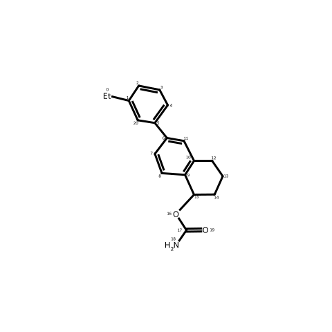 CCc1cccc(-c2ccc3c(c2)CCCC3OC(N)=O)c1